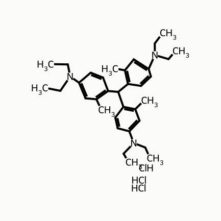 CCN(CC)c1ccc(C(c2ccc(N(CC)CC)cc2C)c2ccc(N(CC)CC)cc2C)c(C)c1.Cl.Cl.Cl